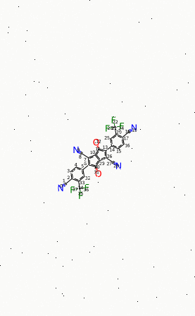 N#Cc1ccc(-c2c(C#N)c3c(=O)c(-c4ccc(C#N)c(C(F)(F)F)c4)c(C#N)c=3c2=O)cc1C(F)(F)F